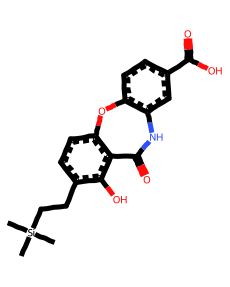 C[Si](C)(C)CCc1ccc2c(c1O)C(=O)Nc1cc(C(=O)O)ccc1O2